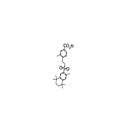 Cc1cc(C(=O)O)ccc1CCS(=O)(=O)c1cc2c(cc1C)C(C)(C)CCC2(C)C